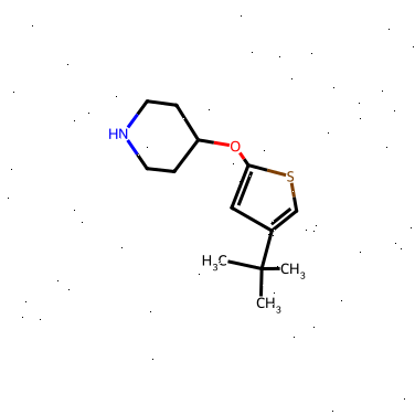 CC(C)(C)c1csc(OC2CCNCC2)c1